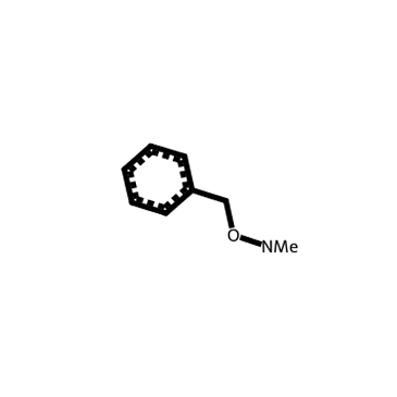 CNOCc1ccccc1